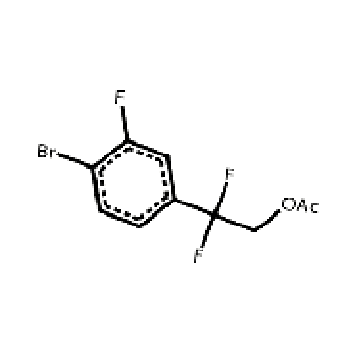 CC(=O)OCC(F)(F)c1ccc(Br)c(F)c1